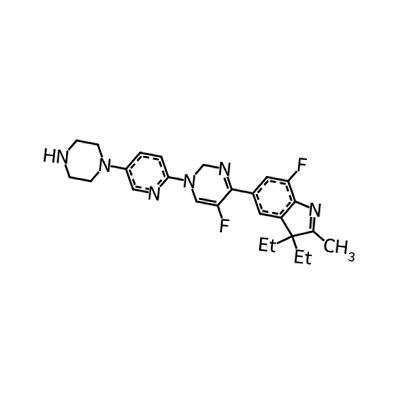 CCC1(CC)C(C)=Nc2c(F)cc(C3=NCN(c4ccc(N5CCNCC5)cn4)C=C3F)cc21